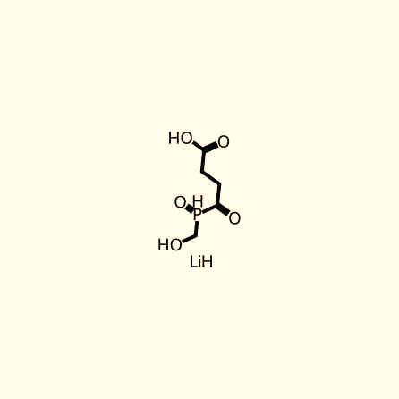 O=C(O)CCC(=O)[PH](=O)CO.[LiH]